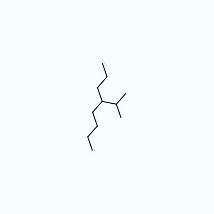 [CH2]CCCC(CC[CH2])C(C)C